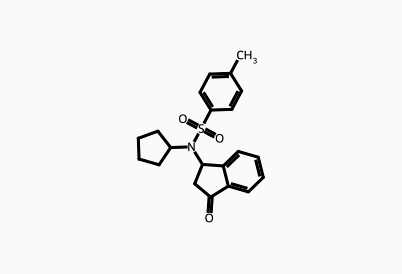 Cc1ccc(S(=O)(=O)N(C2CCCC2)C2CC(=O)c3ccccc32)cc1